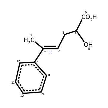 C/C(=C\CC(O)C(=O)O)c1ccccc1